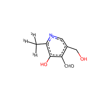 [2H]C([2H])([2H])c1ncc(CO)c(C=O)c1O